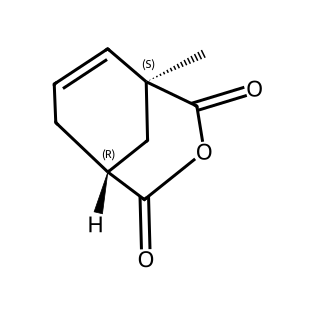 C[C@@]12C=CC[C@H](C1)C(=O)OC2=O